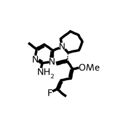 C=C(/C(=C\C=C(/C)F)OC)[C@H]1CCCCCN1c1cc(C)nc(N)n1